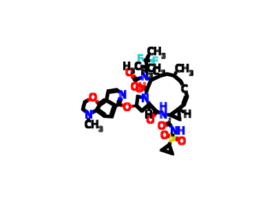 C[C@H]1CCC=C[C@@H]2C[C@@]2(C(=O)NS(=O)(=O)C2CC2)NC(=O)[C@@H]2C[C@@H](Oc3nccc4c5c(ccc34)N(C)CCO5)CN2C(=O)[C@@H](N(C(=O)O)C(C)(C)C(C)(F)F)[C@H](C)C1